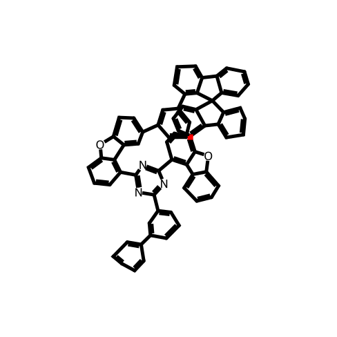 c1ccc(-c2cccc(-c3nc(-c4cccc5oc6ccccc6c45)nc(-c4cccc5oc6ccc(-c7cccc(-c8cccc9c8C8(c%10ccccc%10-c%10ccccc%108)c8ccccc8-9)c7)cc6c45)n3)c2)cc1